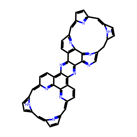 C1=C/C2=C/c3ccc4c(n3)c3nc(cnc3c3nc5c6ccc7cc8nc(cc9ccc(cc%10ccc(c(n%10)c6n7)c5nc43)[nH]9)C=C8)CC3C=C/C(=C/C1=N2)N3